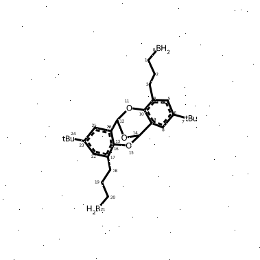 BCCCc1cc(C(C)(C)C)cc2c1OC1OC2Oc2c(CCCB)cc(C(C)(C)C)cc21